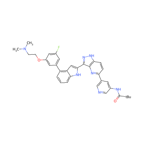 CN(C)CCOc1cc(F)cc(-c2cccc3[nH]c(-c4n[nH]c5ccc(-c6cncc(NC(=O)C(C)(C)C)c6)nc45)cc23)c1